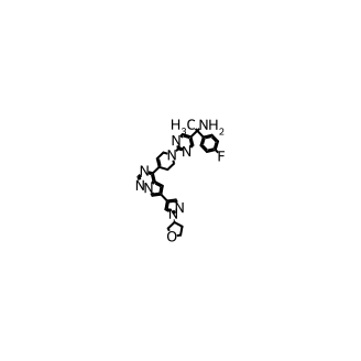 CC(N)(c1ccc(F)cc1)c1cnc(N2CC=C(c3ncnn4cc(-c5cnn([C@@H]6CCOC6)c5)cc34)CC2)nc1